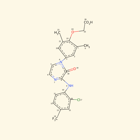 Cc1cc(-n2ccnc(Nc3ccc(C(F)(F)F)cc3Cl)c2=O)cc(C)c1OCC(=O)O